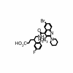 Cc1ccc(F)cc1C(CCC(=O)O)CNC(=O)c1c(C)c(N2CCCCC2)nc2ccc(Br)cc12